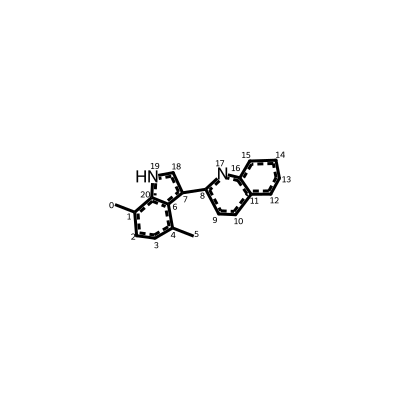 Cc1ccc(C)c2c(-c3ccc4ccccc4n3)c[nH]c12